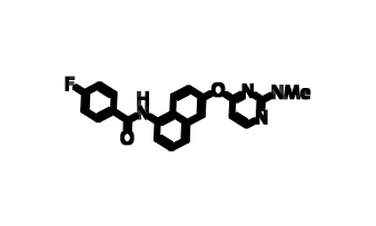 CNc1nccc(Oc2ccc3c(NC(=O)c4ccc(F)cc4)cccc3c2)n1